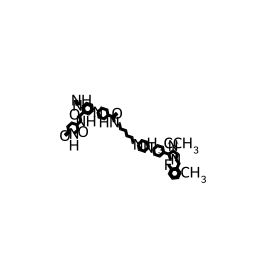 Cc1cccc(F)c1CN1CC(C2CCC(N3CCN(CCCCCCNC(=O)C4CCN(c5ccc(N=N)c(C(=O)NC6CCC(=O)NC6=O)c5)CC4)CC3)CC2)[C@@H](N(C)C)C1